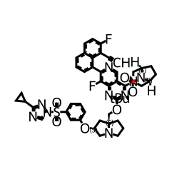 C#Cc1c(F)ccc2cccc(-c3ncc4c(N5C[C@H]6CC[C@@H](C5)N6C(=O)OC(C)(C)C)nc(OC[C@@]56CCCN5C[C@@H](Oc5cccc(S(=O)(=O)n7cnc(C8CC8)n7)c5)C6)nc4c3F)c12